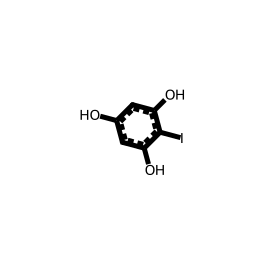 Oc1cc(O)c(I)c(O)c1